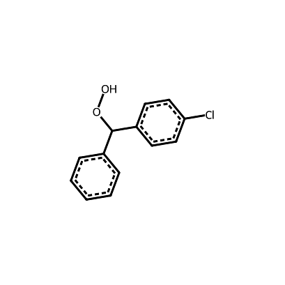 OOC(c1ccccc1)c1ccc(Cl)cc1